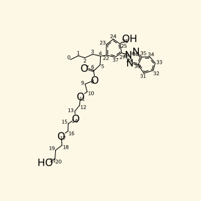 CCCCC(CC(=O)OCCOCCOCCOCCCO)c1ccc(O)c(-n2nc3ccccc3n2)c1